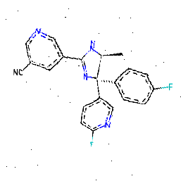 C[C@@H]1NC(c2cncc(C#N)c2)=N[C@]1(c1ccc(F)cc1)c1ccc(F)nc1